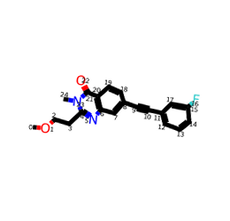 COCCc1nc2cc(C#Cc3cccc(F)c3)ccc2c(=O)n1C